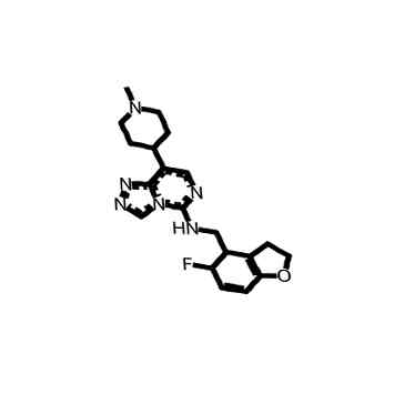 CN1CCC(c2cnc(NCC3C4=C(C=CC3F)OCC4)n3cnnc23)CC1